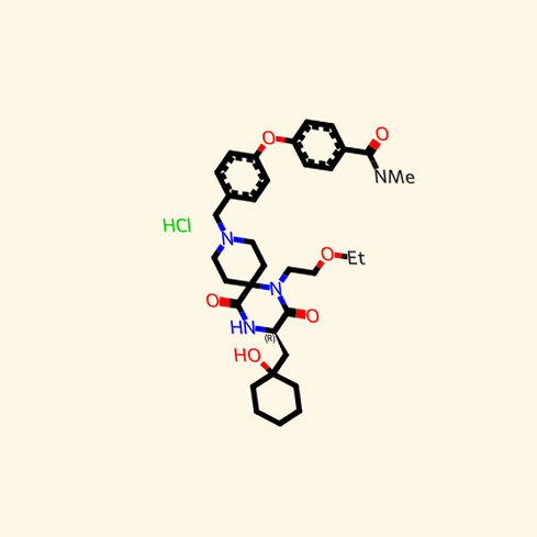 CCOCCN1C(=O)[C@@H](CC2(O)CCCCC2)NC(=O)C12CCN(Cc1ccc(Oc3ccc(C(=O)NC)cc3)cc1)CC2.Cl